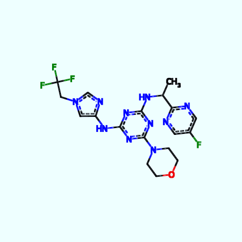 CC(Nc1nc(Nc2cn(CC(F)(F)F)cn2)nc(N2CCOCC2)n1)c1ncc(F)cn1